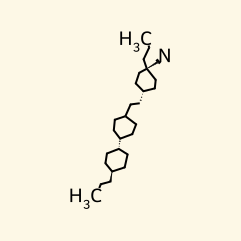 CCC[C@H]1CC[C@H](C2CCC(CC[C@H]3CC[C@@](C#N)(CCC)CC3)CC2)CC1